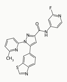 Cc1cccc(-n2nc(C(=O)Nc3ccnc(F)c3)cc2-c2ccc3ncsc3c2)n1